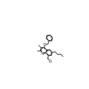 CCCCc1cc(C=O)c2nc(C)c(C)c(OCc3ccccc3)c2c1